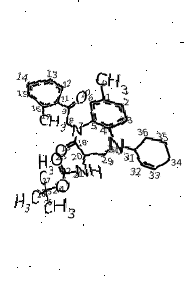 Cc1ccc2c(c1)N(CC(=O)c1ccccc1C)C(=O)C(NC(=O)OC(C)(C)C)CN2C1C=CCCC1